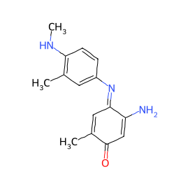 CNc1ccc(N=C2C=C(C)C(=O)C=C2N)cc1C